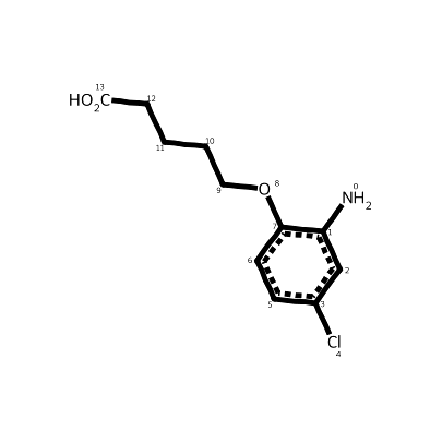 Nc1cc(Cl)ccc1OCCCCC(=O)O